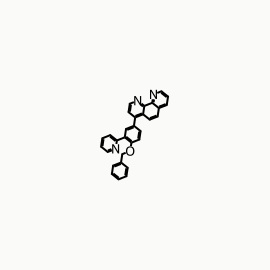 c1ccc(COc2ccc(-c3ccnc4c3ccc3cccnc34)cc2-c2ccccn2)cc1